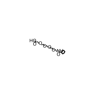 O=C(O)CCOCCOCCOCCOCCNC(=O)c1ccccc1